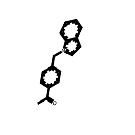 CC(=O)c1ccc(Cn2ccc3ccccc32)cc1